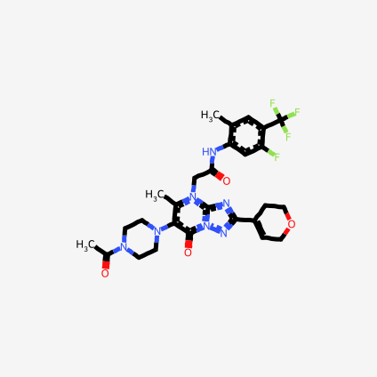 CC(=O)N1CCN(c2c(C)n(CC(=O)Nc3cc(F)c(C(F)(F)F)cc3C)c3nc(C4=CCOCC4)nn3c2=O)CC1